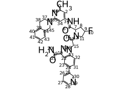 Cc1cc(NC(=O)C2CC(F)CN2C(=O)Cn2nc(C(N)=O)c3cc(-c4cccnc4)ccc32)cc(N2CCc3ccccc3C2)n1